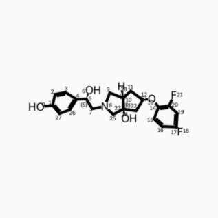 Oc1ccc([C@H](O)CN2C[C@@H]3C[C@@H](Oc4ccc(F)cc4F)C[C@]3(O)C2)cc1